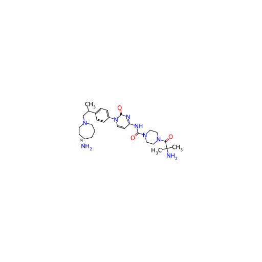 CC(CN1CCC[C@H](N)CC1)c1ccc(-n2ccc(NC(=O)N3CCN(C(=O)C(C)(C)N)CC3)nc2=O)cc1